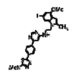 CNc1nnc(-c2ccc(-c3cc(NCCn4c(C)cc5c(OC)cc(F)cc54)ncn3)cc2)s1